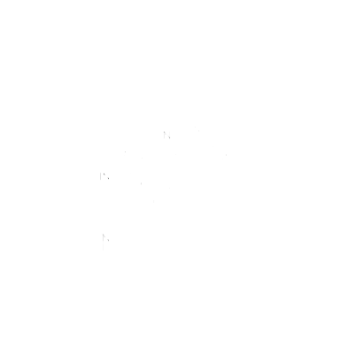 Cn1cc(S(=O)(=O)NC2CCNCC2)c2c(C(F)(F)F)ccc(S(=O)(=O)c3ccccc3)c21